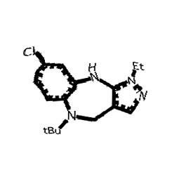 CCn1ncc2c1Nc1cc(Cl)ccc1N(C(C)(C)C)C2